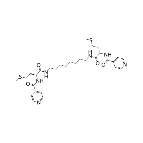 CSCC[C@H](NC(=O)c1ccncc1)C(=O)NCCCCCCCCNC(=O)[C@H](CCSC)NC(=O)c1ccncc1